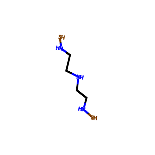 SNCCNCCNS